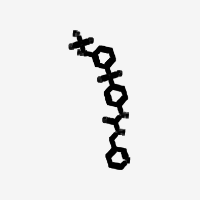 CCS(=O)(=O)Nc1cccc(S(=O)(=O)c2ccc(NC(=O)NCc3cccnc3)cc2)c1